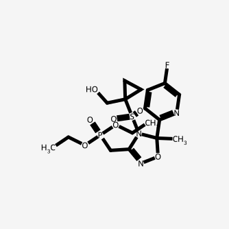 CCOP(=O)(CC1=NOC(C)(c2ccc(F)cn2)N1S(=O)(=O)C1(CO)CC1)OCC